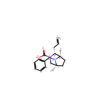 C=CC[C@@H]1[C@H]2CC[C@@H](CN1C(=O)O)N2Cc1ccccc1